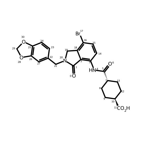 O=C1c2c(NC(=O)[C@H]3CC[C@H](C(=O)O)CC3)ccc(Br)c2CN1Cc1ccc2c(c1)OCO2